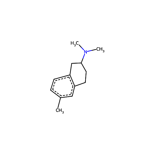 Cc1ccc2c(c1)CCC(N(C)C)C2